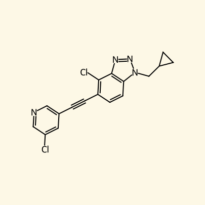 Clc1cncc(C#Cc2ccc3c(nnn3CC3CC3)c2Cl)c1